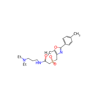 CCN(CC)CCCNC(=O)CS(=O)(=O)Cc1nc(-c2ccc(C)cc2)oc1C